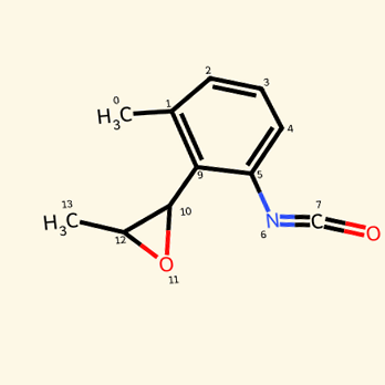 Cc1cccc(N=C=O)c1C1OC1C